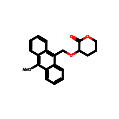 COc1c2ccccc2c(COC2CCCOC2=O)c2ccccc12